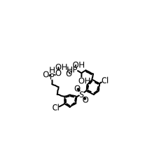 O=[PH](CCCc1cc(S(=O)(=O)c2ccc(Cl)c(/C=C\C(O)[PH](=O)O)c2)ccc1Cl)OO